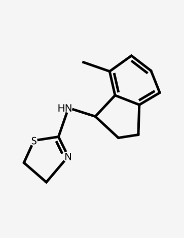 Cc1cccc2c1C(NC1=NCCS1)CC2